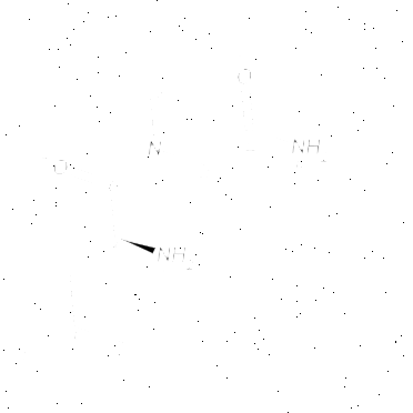 CC(C)C[C@H](N)C(=O)N(C)CC(N)=O